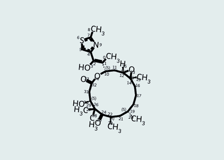 CC(=C(O)c1csc(C)n1)[C@@H]1C[C@@H]2O[C@]2(C)CCC[C@H](C)C[C@@H](C)C(=O)C(C)(C)[C@@H](O)CC(=O)O1